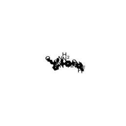 COCC=CC(=O)N1CCCC1c1nc(-c2ccc(C(=O)Nc3cc(C(F)(F)F)ccn3)cc2)c2c(N)nccn12